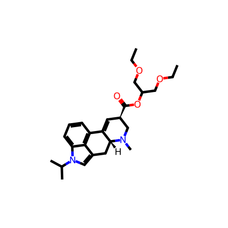 CCOCC(COCC)OC(=O)[C@@H]1C=C2c3cccc4c3c(cn4C(C)C)C[C@H]2N(C)C1